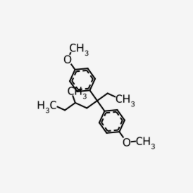 CCC(C)CC(CC)(c1ccc(OC)cc1)c1ccc(OC)cc1